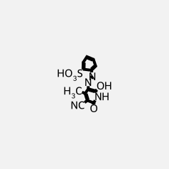 Cc1c(/N=N/c2ccccc2S(=O)(=O)O)c(O)[nH]c(=O)c1C#N